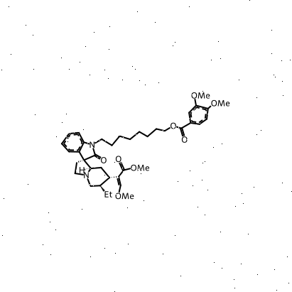 CC[C@H]1CN2CC[C@]3(C(=O)N(CCCCCCCCOC(=O)c4ccc(OC)c(OC)c4)c4ccccc43)[C@H]2C[C@@H]1/C(=C\OC)C(=O)OC